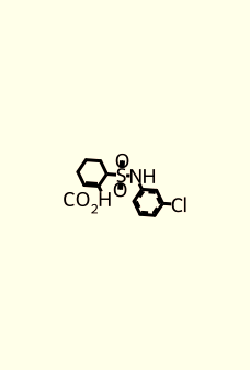 O=C(O)C1=CCCCC1S(=O)(=O)Nc1cccc(Cl)c1